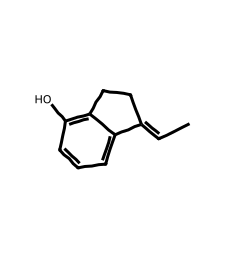 CC=C1CCc2c(O)cccc21